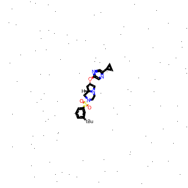 CC(C)(C)c1cccc(S(=O)(=O)N2CCN3C[C@@H](Oc4cnc(C5CC5)cn4)C[C@H]3C2)c1